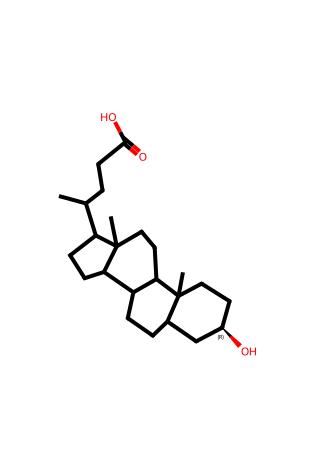 CC(CCC(=O)O)C1CCC2C3CCC4C[C@H](O)CCC4(C)C3CCC12C